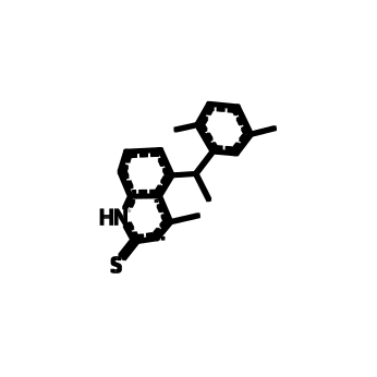 Cc1ccc(C)c(C(C)c2cccc3[nH]c(=S)[c]c(C)c23)c1